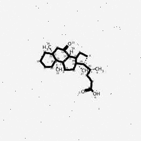 C[C@H](CCC(=O)O)[C@H]1CCC2[C@@H]3C(=O)C[C@]4(C)CCCC[C@]4(C)C3CC[C@@]21C